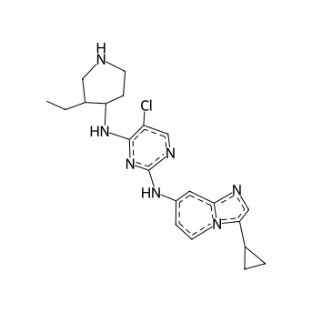 CCC1CNCCC1Nc1nc(Nc2ccn3c(C4CC4)cnc3c2)ncc1Cl